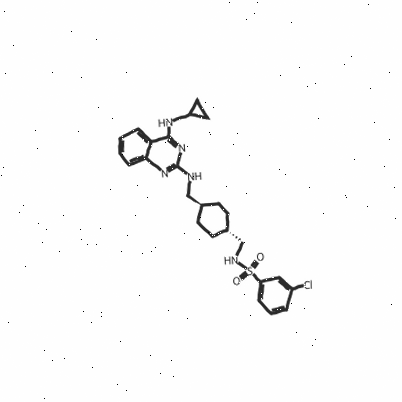 O=S(=O)(NC[C@H]1CC[C@H](CNc2nc(NC3CC3)c3ccccc3n2)CC1)c1cccc(Cl)c1